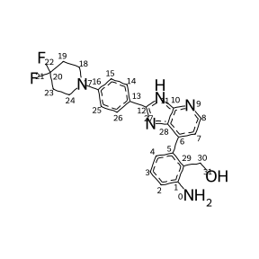 Nc1cccc(-c2ccnc3[nH]c(-c4ccc(N5CCC(F)(F)CC5)cc4)nc23)c1CO